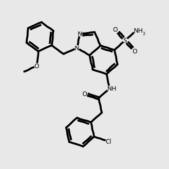 COc1ccccc1Cn1ncc2c(S(N)(=O)=O)cc(NC(=O)Cc3ccccc3Cl)cc21